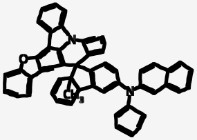 CC12C=CC=CC1c1cc(N(c3ccccc3)c3ccc4ccccc4c3)ccc1C21c2ccccc2-n2c3ccccc3c3c4oc5ccccc5c4cc1c32